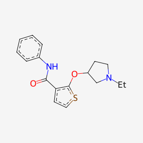 CCN1CCC(Oc2sccc2C(=O)Nc2ccccc2)C1